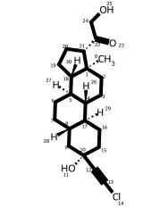 C[C@]12CC[C@H]3[C@@H](CC[C@H]4C[C@](O)(C#CCl)CC[C@@H]43)[C@@H]1CC[C@@H]2C(=O)CO